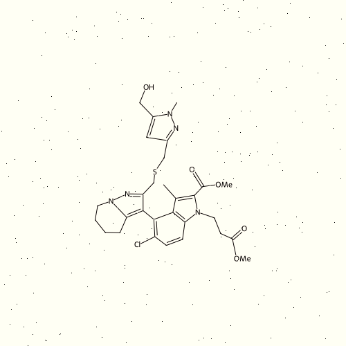 COC(=O)CCn1c(C(=O)OC)c(C)c2c(-c3c(CSCc4cc(CO)n(C)n4)nn4c3CCCC4)c(Cl)ccc21